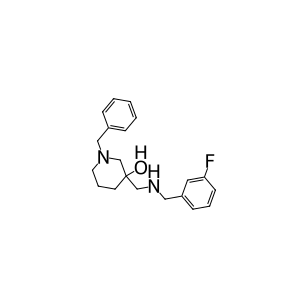 OC1(CNCc2cccc(F)c2)CCCN(Cc2ccccc2)C1